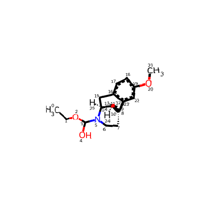 CCOC(O)N1CC[C@@]23CCCC[C@@H]2[C@@H]1Cc1ccc(OC)cc13